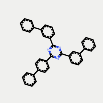 c1ccc(-c2ccc(-c3nc(-c4cccc(-c5ccccc5)c4)nc(-c4cccc(-c5ccccc5)c4)n3)cc2)cc1